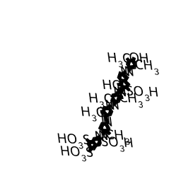 Cc1cc(N=Nc2cc(C)c(N=Nc3c(S(=O)(=O)O)cc4cc(N=Nc5cc(C)c(O)c(C)c5)ccc4c3O)cc2C)ccc1N=Nc1ccc(N=Nc2cc3c(S(=O)(=O)O)cc(S(=O)(=O)O)cc3cc2S(=O)(=O)O)c(C)c1